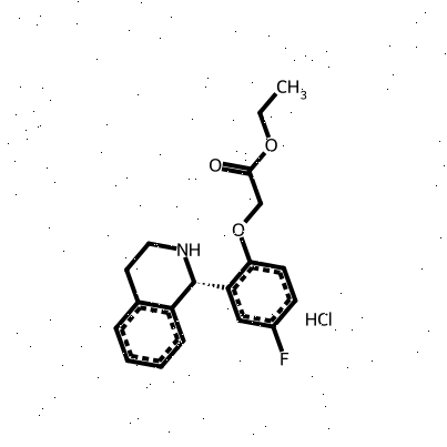 CCOC(=O)COc1ccc(F)cc1[C@H]1NCCc2ccccc21.Cl